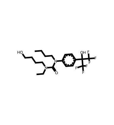 CCCCN(C(=O)N(CC)CCCCO)c1ccc(C(O)(C(F)(F)F)C(F)(F)F)cc1